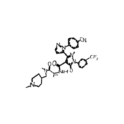 C[C@H](NC(=O)c1c(-c2ccnn2-c2ccc(C#N)cc2)n(C)n(-c2cccc(C(F)(F)F)c2)c1=O)C(=O)N(C)CC1CCN(C)CC1